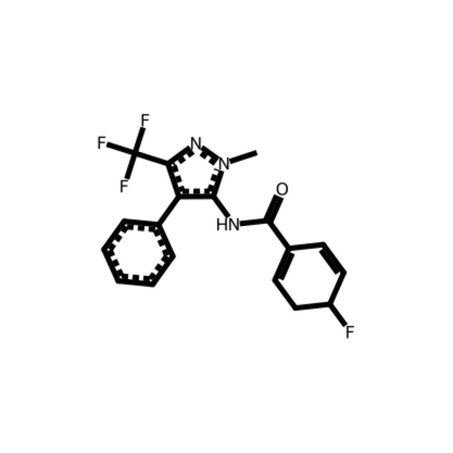 Cn1nc(C(F)(F)F)c(-c2ccccc2)c1NC(=O)C1=CCC(F)C=C1